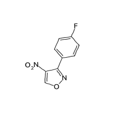 O=[N+]([O-])c1conc1-c1ccc(F)cc1